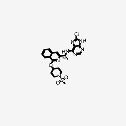 C[C@H](Nc1ncnc2[nH]c(Cl)nc12)c1cc2ccccc2c(OC2CCN(S(C)(=O)=O)CC2)n1